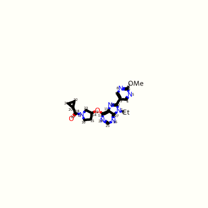 CCn1c(-c2cnc(OC)nc2)nc2c(OC3CCN(C(=O)C4CC4)C3)ncnc21